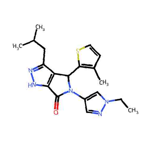 CCn1cc(N2C(=O)c3[nH]nc(CC(C)C)c3C2c2sccc2C)cn1